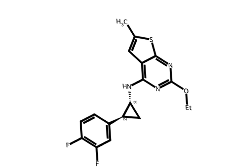 CCOc1nc(N[C@@H]2C[C@H]2c2ccc(F)c(F)c2)c2cc(C)sc2n1